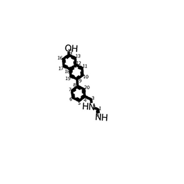 N=CNCc1cccc(-c2ccc3cc(O)ccc3c2)c1